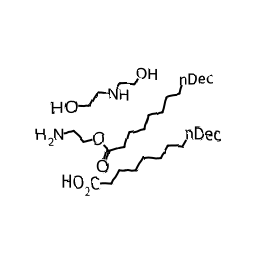 CCCCCCCCCCCCCCCCCC(=O)O.CCCCCCCCCCCCCCCCCC(=O)OCCN.OCCNCCO